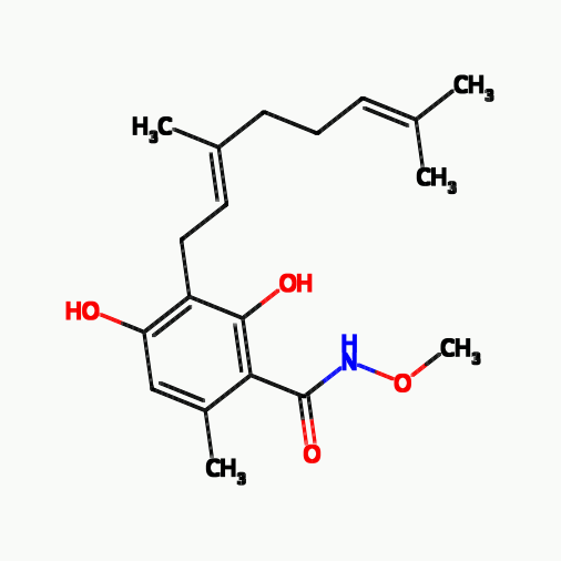 CONC(=O)c1c(C)cc(O)c(C/C=C(\C)CCC=C(C)C)c1O